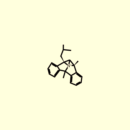 CC(C)C[C@@]12c3ccccc3C3(C)c4ccccc4[C@@]4(C)C1[N+]342